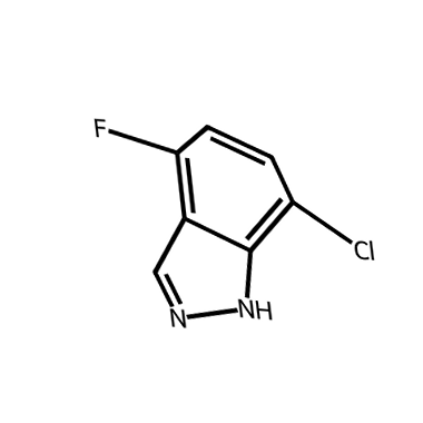 Fc1ccc(Cl)c2[nH]ncc12